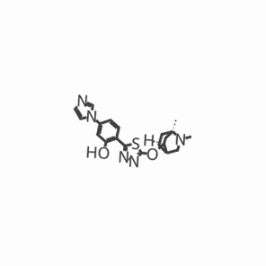 CN1CC2CC[C@]1(C)C[C@@H]2Oc1nnc(-c2ccc(-n3ccnc3)cc2O)s1